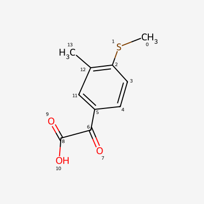 CSc1ccc(C(=O)C(=O)O)cc1C